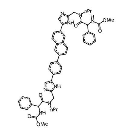 CCCN(Cc1ncc(-c2ccc(-c3ccc4cc(-c5cnc(CN(CCC)C(=O)C(NC(=O)OC)c6ccccc6)[nH]5)ccc4c3)cc2)[nH]1)C(=O)C(NC(=O)OC)c1ccccc1